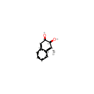 O=C1C=c2ccccc2=CC1=O.[Ti]